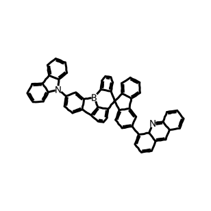 C1=CC2=CC3C=CC=CC3=NC2C(c2ccc3c(c2)-c2ccccc2C32c3ccccc3B3c4cc(-n5c6ccccc6c6ccccc65)ccc4-c4cccc2c43)=C1